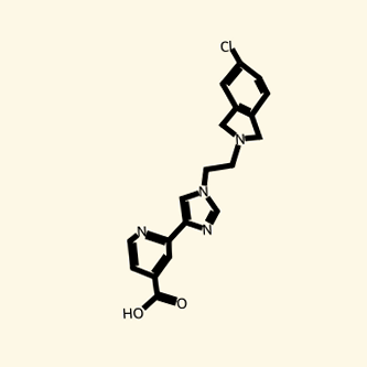 O=C(O)c1ccnc(-c2cn(CCN3Cc4ccc(Cl)cc4C3)cn2)c1